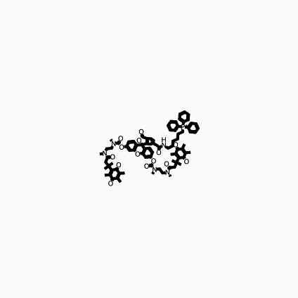 CC1=C(C)C(=O)C(C(C)(C)CC(=O)N(C)CCN(C)C(=O)Oc2ccc3c(c2)Oc2cc(OC(=O)N(C)CCN(C)C(=O)CC(C)(C)C4=C(C)C(=O)C(C)=C(C)C4=O)ccc2C32OC(=O)c3ccc(C(=O)NCCCCCC[P+](c4ccccc4)(c4ccccc4)c4ccccc4)cc32)=C(C)C1=O